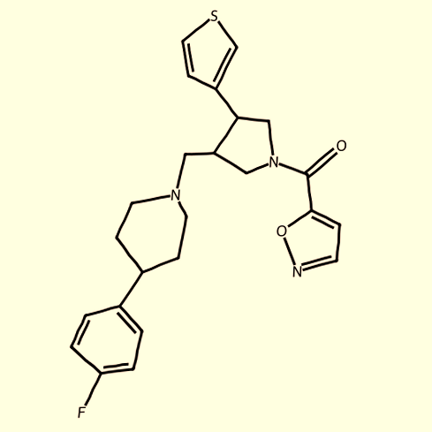 O=C(c1ccno1)N1CC(CN2CCC(c3ccc(F)cc3)CC2)C(c2ccsc2)C1